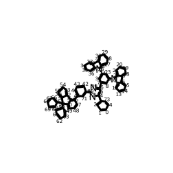 c1ccc(-c2cc(-c3cc(-n4c5ccccc5c5ccccc54)cc(-n4c5ccccc5c5ccccc54)c3)nc(-c3cccc(-c4cccc5c4-c4ccccc4C5(c4ccccc4)c4ccccc4)c3)n2)cc1